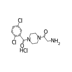 Cl.NCC(=O)N1CCN(C(=O)c2cc(Cl)ccc2Cl)CC1